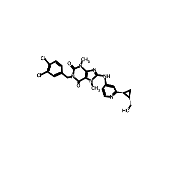 Cn1c(Nc2ccnc([C@H]3C[C@@H]3CO)c2)nc2c1c(=O)n(Cc1ccc(Cl)c(Cl)c1)c(=O)n2C